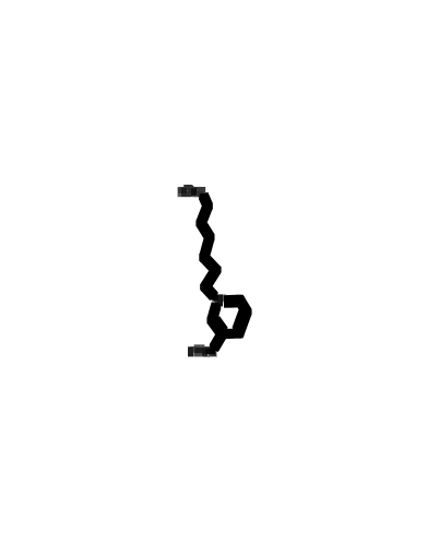 CCCCCCCCCCCCCCCC[n+]1cccc(CCCCCC)c1